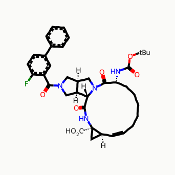 CC(C)(C)OC(=O)N[C@@H]1CCCCC/C=C\[C@H]2C[C@@]2(C(=O)O)NC(=O)[C@@H]2[C@H]3CN(C(=O)c4cc(-c5ccccc5)ccc4F)C[C@H]3CN2C1=O